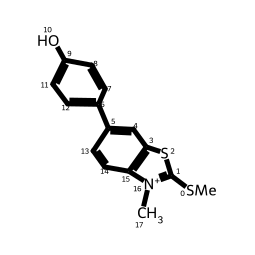 CSc1sc2cc(-c3ccc(O)cc3)ccc2[n+]1C